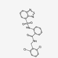 O=C(NCc1c(Cl)cccc1Cl)c1ccccc1NS(=O)(=O)c1cccc2nsnc12